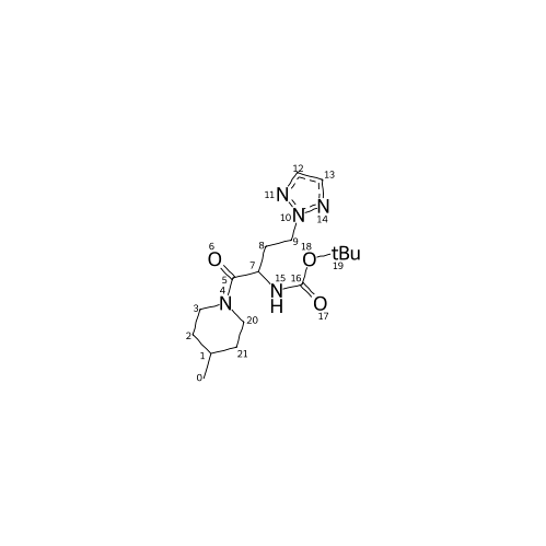 CC1CCN(C(=O)C(CCn2nccn2)NC(=O)OC(C)(C)C)CC1